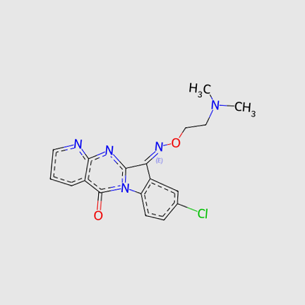 CN(C)CCO/N=C1\c2cc(Cl)ccc2-n2c1nc1ncccc1c2=O